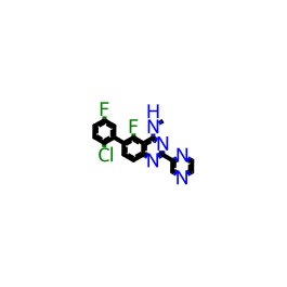 CNc1nc(-c2cnccn2)nc2ccc(-c3cc(F)ccc3Cl)c(F)c12